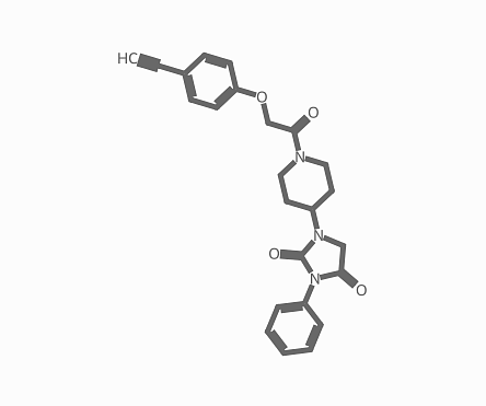 C#Cc1ccc(OCC(=O)N2CCC(N3CC(=O)N(c4ccccc4)C3=O)CC2)cc1